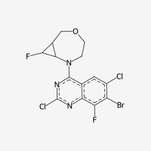 Fc1c(Br)c(Cl)cc2c(N3CCOCC4C(F)C43)nc(Cl)nc12